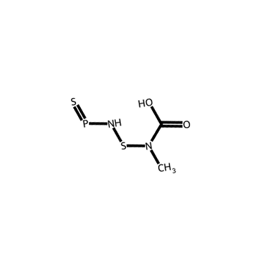 CN(SNP=S)C(=O)O